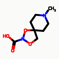 CN1CCC2(CC1)CON(C(=O)O)O2